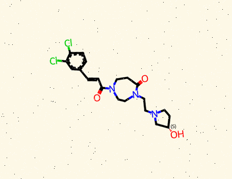 O=C(C=Cc1ccc(Cl)c(Cl)c1)N1CCC(=O)N(CCN2CC[C@H](O)C2)CC1